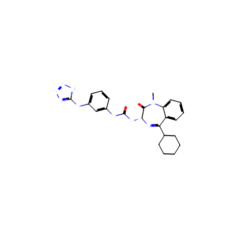 CN1C(=O)[C@H](NC(=O)Nc2cccc(Nc3nnn[nH]3)c2)N=C(C2CCCCC2)c2ccccc21